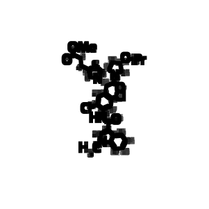 COC(=O)CCc1cnc([C@@H]2C[C@H](OC(C)C)CN2C(=O)Cc2cc(Cl)c(NC(=O)c3cn(C)c4ccccc34)cc2Cl)s1